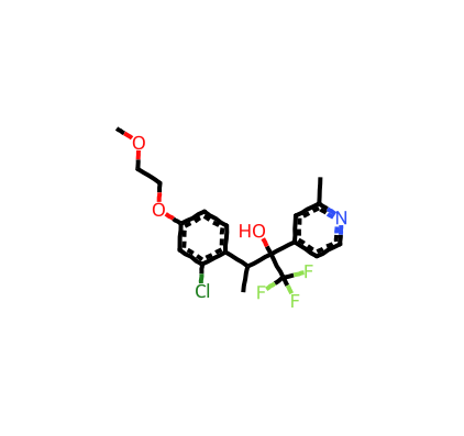 COCCOc1ccc(C(C)C(O)(c2ccnc(C)c2)C(F)(F)F)c(Cl)c1